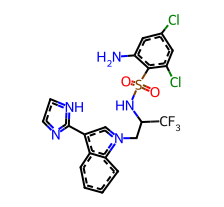 Nc1cc(Cl)cc(Cl)c1S(=O)(=O)NC(Cn1cc(-c2ncc[nH]2)c2ccccc21)C(F)(F)F